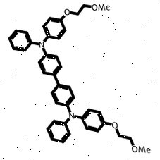 COCCOc1ccc(N(c2ccccc2)c2ccc(-c3ccc(N(c4ccccc4)c4ccc(OCCOC)cc4)cc3)cc2)cc1